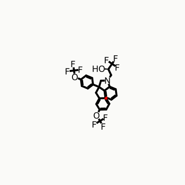 O[C@H](CN1CC(Cc2cccc(OC(F)(F)F)c2)(c2ccc(OC(F)(F)F)cc2)c2ccccc21)C(F)(F)F